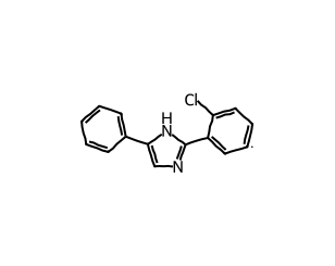 Clc1cc[c]cc1-c1ncc(-c2ccccc2)[nH]1